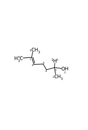 [2H]C(C)(O)CCC=C(C)C